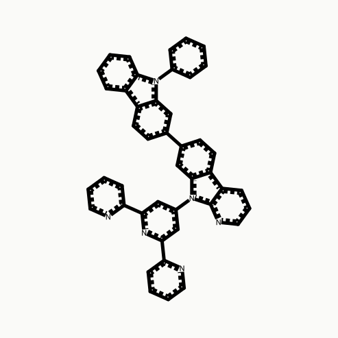 c1ccc(-n2c3ccccc3c3ccc(-c4ccc5c6cccnc6n(-c6cc(-c7ccccn7)nc(-c7ccccn7)c6)c5c4)cc32)cc1